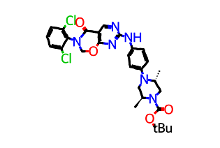 C[C@@H]1CN(C(=O)OC(C)(C)C)[C@@H](C)CN1c1ccc(Nc2ncc3c(n2)OCN(c2c(Cl)cccc2Cl)C3=O)cc1